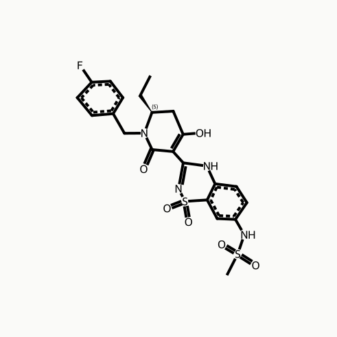 CC[C@H]1CC(O)=C(C2=NS(=O)(=O)c3cc(NS(C)(=O)=O)ccc3N2)C(=O)N1Cc1ccc(F)cc1